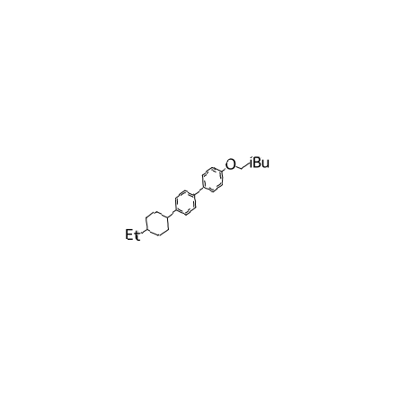 CCC(C)COc1ccc(-c2ccc(C3CCC(CC)CC3)cc2)cc1